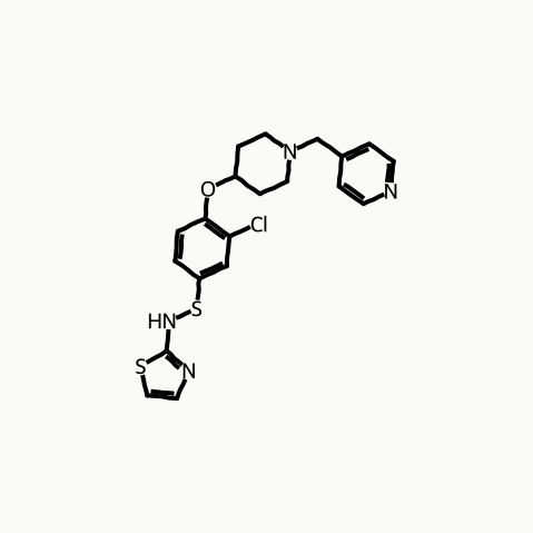 Clc1cc(SNc2nccs2)ccc1OC1CCN(Cc2ccncc2)CC1